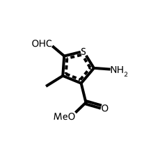 COC(=O)c1c(N)sc(C=O)c1C